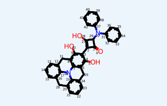 O=C1C(c2c(O)c3c4c(c2O)Cc2cccc5c2N4c2c(cccc2C3)C5)=C(O)C1N(c1ccccc1)c1ccccc1